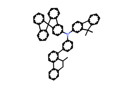 CC1Cc2ccccc2-c2cccc(-c3cccc(N(c4ccc5c(c4)-c4ccccc4C54c5ccccc5-c5ccccc54)c4ccc5c(c4)C(C)(C)c4ccccc4-5)c3)c21